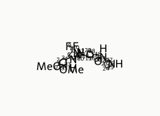 COc1ccc(C2CC(C(F)F)n3nc(-c4ccc(CC(=O)NC5CCCNC5)cc4)cc3N2)cc1OC